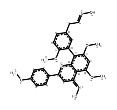 COc1ccc(-c2cc(=NO)c3c(OC)cc(OC)c(-c4cc(CC=NO)ccc4OC)c3o2)cc1